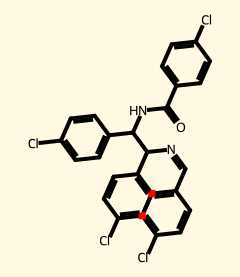 O=C(NC(c1ccc(Cl)cc1)C(/N=C\c1ccc(Cl)cc1)c1ccc(Cl)cc1)c1ccc(Cl)cc1